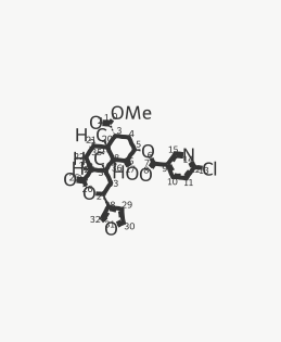 COC(=O)[C@@H]1C[C@H](OC(=O)c2ccc(Cl)nc2)C(=O)[C@H]2[C@@]1(C)CC[C@H]1C(=O)O[C@H](c3ccoc3)C[C@]21C